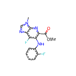 COC(=O)c1nc2c(ncn2C)c(F)c1Nc1ccccc1F